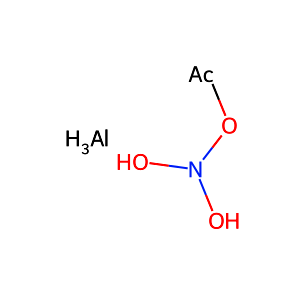 CC(=O)ON(O)O.[AlH3]